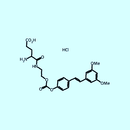 COc1cc(C=Cc2ccc(OC(=O)OCCNC(=O)C(N)CCC(=O)O)cc2)cc(OC)c1.Cl